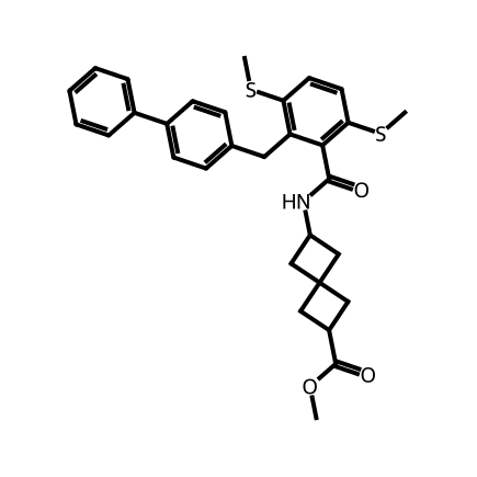 COC(=O)C1CC2(CC(NC(=O)c3c(SC)ccc(SC)c3Cc3ccc(-c4ccccc4)cc3)C2)C1